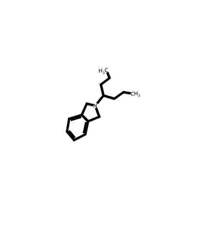 CCCC(CCC)N1Cc2ccccc2C1